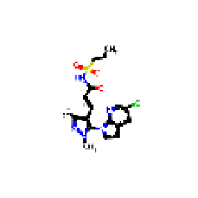 CCCS(=O)(=O)NC(=O)/C=C/c1c(C)nn(C)c1-n1ccc2cc(Cl)cnc21